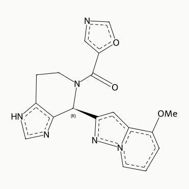 COc1cccn2nc([C@H]3c4nc[nH]c4CCN3C(=O)c3cnco3)cc12